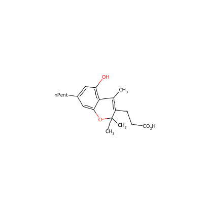 CCCCCc1cc(O)c2c(c1)OC(C)(C)C(CCC(=O)O)=C2C